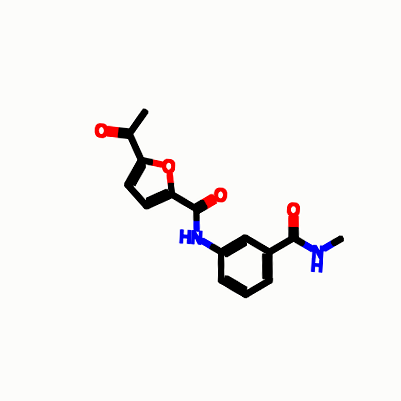 CNC(=O)c1cccc(NC(=O)c2ccc(C(C)=O)o2)c1